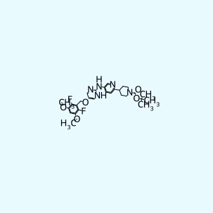 COc1cc(OC)c(F)c(COC2=CNC(Nc3ccc(C4CCN(C(=O)OC(C)(C)C)CC4)nc3)N=C2)c1F